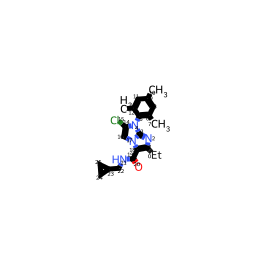 CCc1nc2n(-c3c(C)cc(C)cc3C)c(Cl)cn2c1C(=O)NCC1CC1